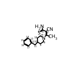 CC(=C(C#N)C(N)=S)N1CCC(Cc2ccccc2)CC1